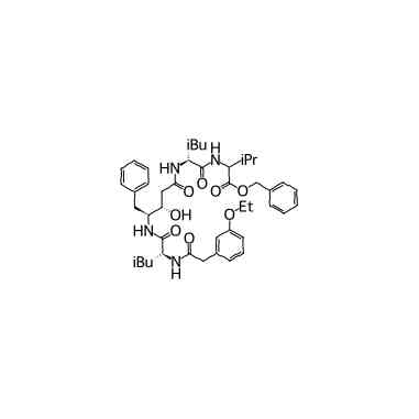 CCOc1cccc(CC(=O)N[C@H](C(=O)N[C@@H](Cc2ccccc2)[C@@H](O)CC(=O)N[C@H](C(=O)NC(C(=O)OCc2ccccc2)C(C)C)[C@@H](C)CC)[C@@H](C)CC)c1